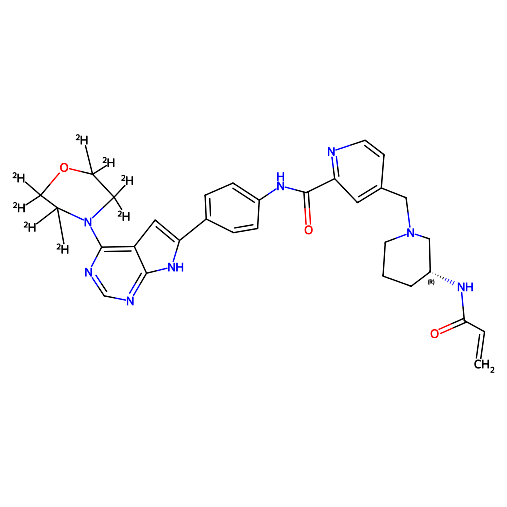 [2H]C1([2H])OC([2H])([2H])C([2H])([2H])N(c2ncnc3[nH]c(-c4ccc(NC(=O)c5cc(CN6CCC[C@@H](NC(=O)C=C)C6)ccn5)cc4)cc23)C1([2H])[2H]